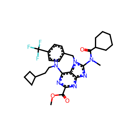 COC(=O)c1nc(NCCC2CCC2)c2c(n1)nc(N(C)C(=O)C1CCCCC1)n2Cc1ccc(C(F)(F)F)cc1